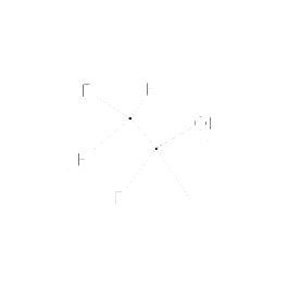 CC(O)(F)C(F)(F)F